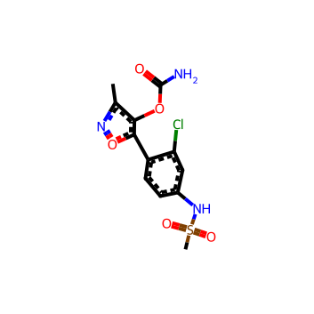 Cc1noc(-c2ccc(NS(C)(=O)=O)cc2Cl)c1OC(N)=O